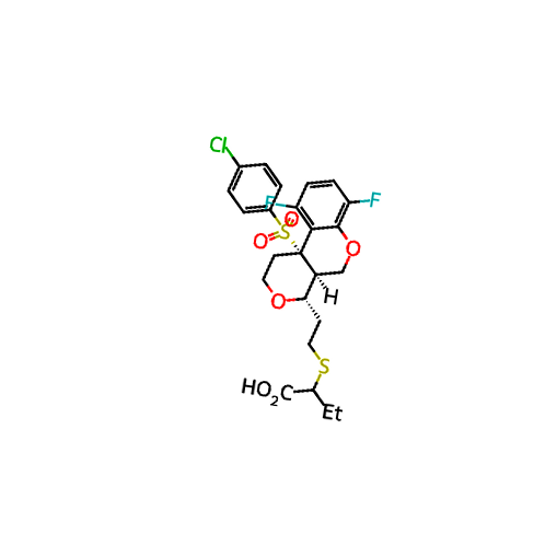 CCC(SCC[C@@H]1OCC[C@@]2(S(=O)(=O)c3ccc(Cl)cc3)c3c(F)ccc(F)c3OC[C@@H]12)C(=O)O